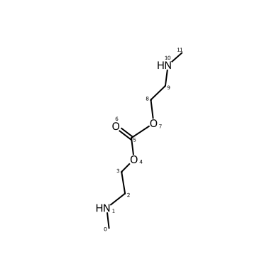 CNCCOC(=O)OCCNC